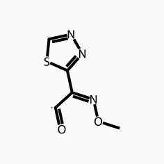 CON=C([C]=O)c1nncs1